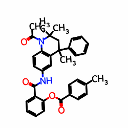 CC(=O)N1c2ccc(NC(=O)c3ccccc3OC(=O)c3ccc(C)cc3)cc2C(C)(c2ccccc2)CC1(C)C